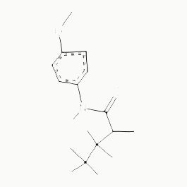 COc1ccc(N(C)C(=O)C(C)C(C)(C)C(C)(C)C)cc1